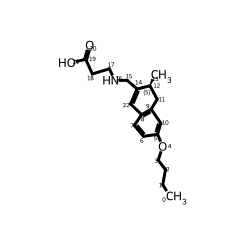 CCCCOc1ccc2c(c1)C[C@H](C)C(CNCCC(=O)O)=C2